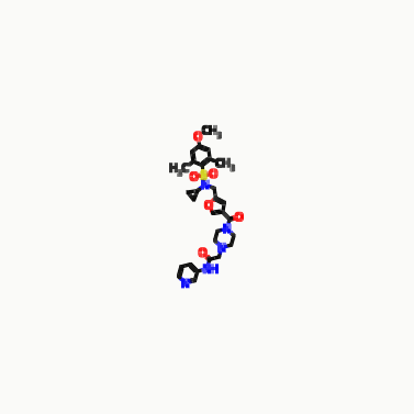 COc1cc(C)c(S(=O)(=O)N(Cc2cc(C(=O)N3CCN(CC(=O)Nc4cccnc4)CC3)co2)C2CC2)c(C)c1